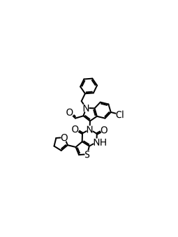 O=Cc1c(-n2c(=O)[nH]c3scc(C4=CCCO4)c3c2=O)c2cc(Cl)ccc2n1Cc1ccccc1